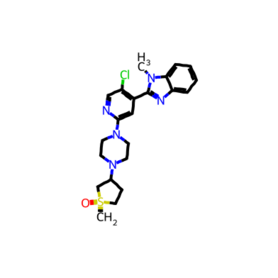 C=S1(=O)CCC(N2CCN(c3cc(-c4nc5ccccc5n4C)c(Cl)cn3)CC2)C1